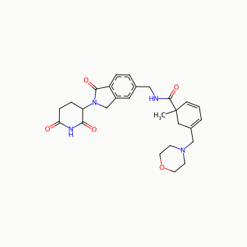 CC1(C(=O)NCc2ccc3c(c2)CN(C2CCC(=O)NC2=O)C3=O)C=CC=C(CN2CCOCC2)C1